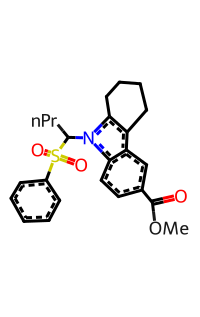 CCCC(n1c2c(c3cc(C(=O)OC)ccc31)CCCC2)S(=O)(=O)c1ccccc1